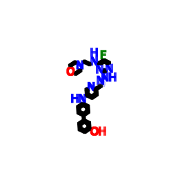 Oc1cccc(-c2ccc(Nc3ccc(/C=N/Nc4ncc(F)c(NCCN5CCOCC5)n4)nc3)cc2)c1